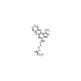 Cc1nnc2c(NCCCCNC(=O)O)nc3cc4c(cc3n12)OCCO4